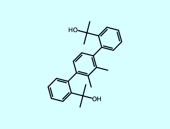 Cc1c(-c2ccccc2C(C)(C)O)ccc(-c2ccccc2C(C)(C)O)c1C